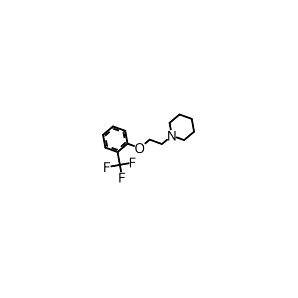 FC(F)(F)c1ccccc1OCCN1CCCCC1